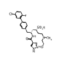 CN(CCO)CC[C@H](C[C@@H](Cc1ccc(-c2cc(Cl)ccc2F)cc1)NC(=O)c1c[nH]nn1)C(=O)O